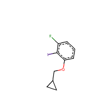 Fc1cccc(OCC2CC2)c1I